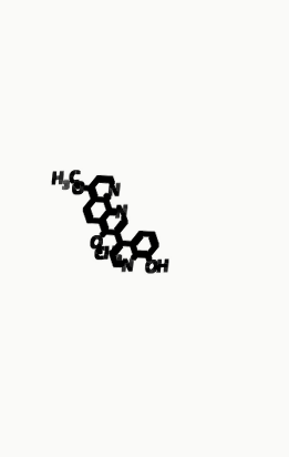 COc1ccnc2c1ccc1c(OC)c(-c3ccnc4c(O)cccc34)cnc12